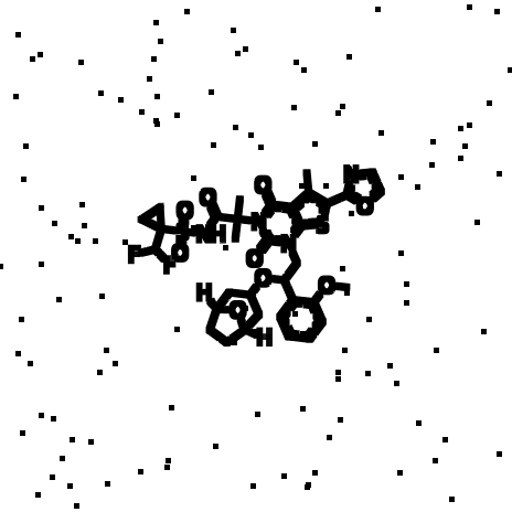 COc1ccccc1C(Cn1c(=O)n(C(C)(C)C(=O)NS(=O)(=O)C2(C(F)F)CC2)c(=O)c2c(C)c(-c3ncco3)sc21)OC1C[C@H]2CC[C@@H](C1)O2